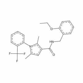 CCOc1ccccc1CNC(=O)c1cc(C)n(-c2ccccc2C(F)(F)F)c1C